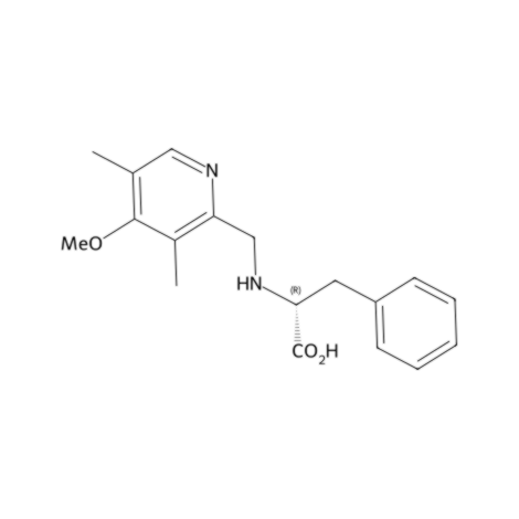 COc1c(C)cnc(CN[C@H](Cc2ccccc2)C(=O)O)c1C